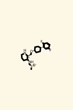 C[S+]([O-])CNC1CCCN[C@H]1CO[C@H]1CC[C@@H](c2cc(F)ccc2F)CC1